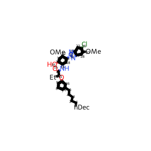 CCCCCCCCCCCCCCCc1cccc(OC(CC)C(=O)Nc2cc(-n3nc4cc(Cl)c(OC)cc4n3)c(OC)cc2O)c1